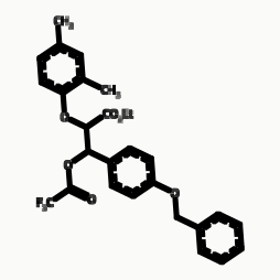 CCOC(=O)C(Oc1ccc(C)cc1C)C(OC(=O)C(F)(F)F)c1ccc(OCc2ccccc2)cc1